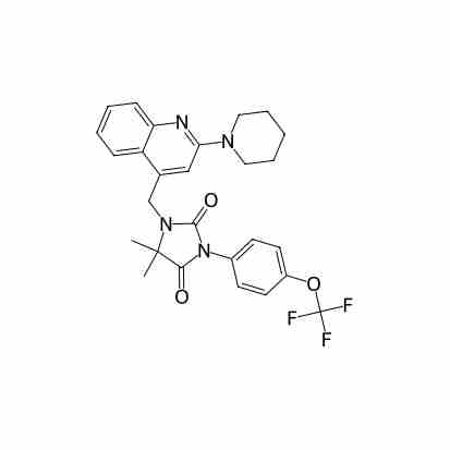 CC1(C)C(=O)N(c2ccc(OC(F)(F)F)cc2)C(=O)N1Cc1cc(N2CCCCC2)nc2ccccc12